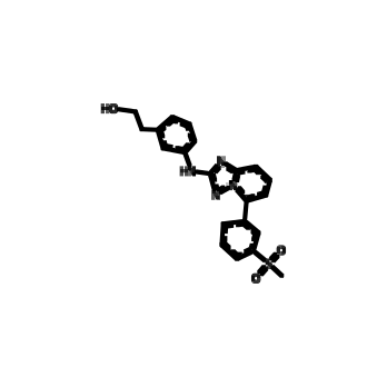 CS(=O)(=O)c1cccc(-c2cccc3nc(Nc4cccc(CCO)c4)nn23)c1